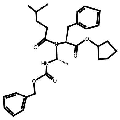 CC(C)CCC(=O)N([C@H](C)NC(=O)OCc1ccccc1)[C@@H](Cc1ccccc1)C(=O)OC1CCCC1